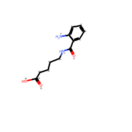 Nc1ccccc1C(=O)NCCCCC(=O)O